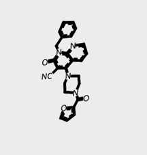 N#Cc1c(N2CCN(C(=O)c3ccco3)CC2)c2cccnc2n(Cc2ccccc2)c1=O